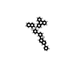 c1ccc(-c2ccc3c(ccc4c5cc(-c6ccc7c(c6)N(c6ccc8c9ccccc9c9ccccc9c8c6)c6ccc8ccccc8c6O7)ccc5oc34)c2)cc1